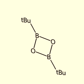 CC(C)(C)B1OB(C(C)(C)C)O1